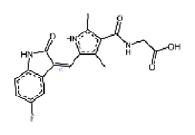 Cc1[nH]c(/C=C2\C(=O)Nc3ccc(F)cc32)c(C)c1C(=O)NCC(=O)O